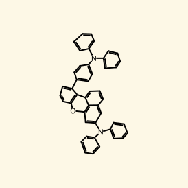 c1ccc(N(c2ccccc2)c2ccc(-c3cccc4c3-c3cccc5cc(N(c6ccccc6)c6ccccc6)cc(c35)O4)cc2)cc1